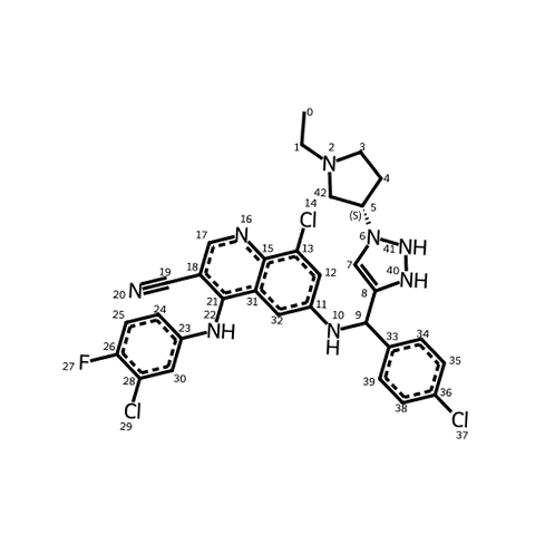 CCN1CC[C@H](N2C=C(C(Nc3cc(Cl)c4ncc(C#N)c(Nc5ccc(F)c(Cl)c5)c4c3)c3ccc(Cl)cc3)NN2)C1